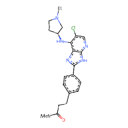 CCN1CC[C@H](Nc2c(Cl)cnc3[nH]c(-c4ccc(CCC(=O)NC)cc4)nc23)C1